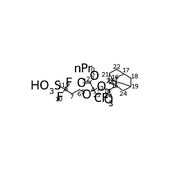 CCCOC(=O)C(OCCC(F)(F)S(=O)(=O)O)(OC(=O)C12CC3CC(CC(C3)C1)C2)C(F)(F)F